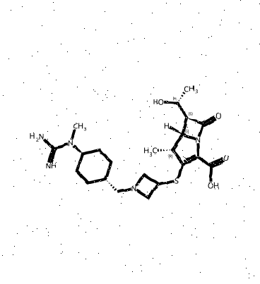 C[C@@H](O)[C@H]1C(=O)N2C(C(=O)O)=C(SC3CN(C[C@H]4CC[C@H](N(C)C(=N)N)CC4)C3)[C@H](C)[C@H]12